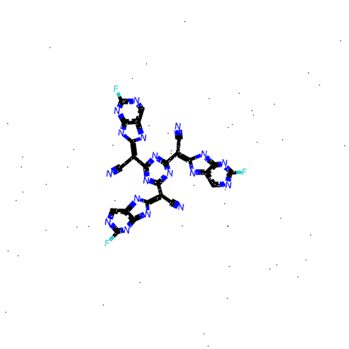 N#CC(=C1N=c2cnc(F)nc2=N1)c1nc(C(C#N)=C2N=c3cnc(F)nc3=N2)nc(C(C#N)=C2N=c3cnc(F)nc3=N2)n1